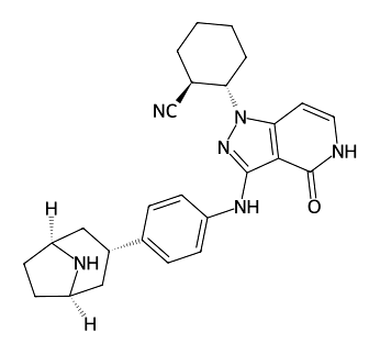 N#C[C@H]1CCCC[C@@H]1n1nc(Nc2ccc([C@@H]3C[C@H]4CC[C@@H](C3)N4)cc2)c2c(=O)[nH]ccc21